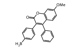 Bc1ccc(-c2c(-c3ccccc3)c3ccc(OC)cc3oc2=O)cc1